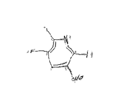 COc1cc(F)c(I)nc1I